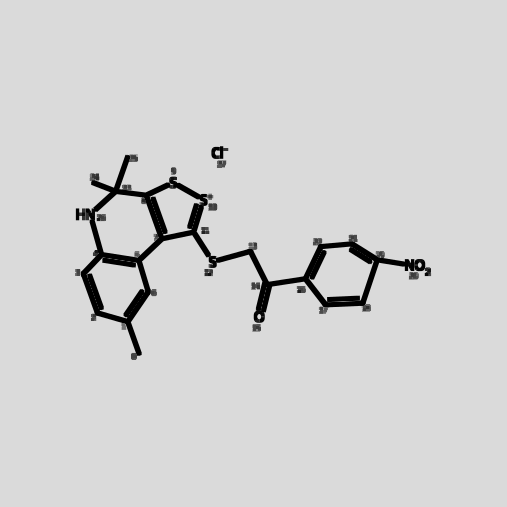 Cc1ccc2c(c1)-c1c(s[s+]c1SCC(=O)c1ccc([N+](=O)[O-])cc1)C(C)(C)N2.[Cl-]